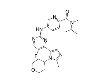 Cc1ncc(-c2nc(Nc3ccc(C(=O)N(C)C(C)C)nc3)ncc2F)n1C1CCOCC1